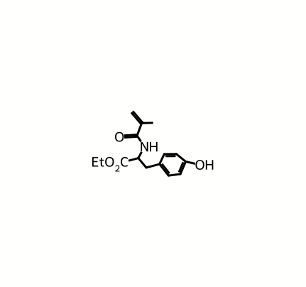 C=C(C)C(=O)NC(Cc1ccc(O)cc1)C(=O)OCC